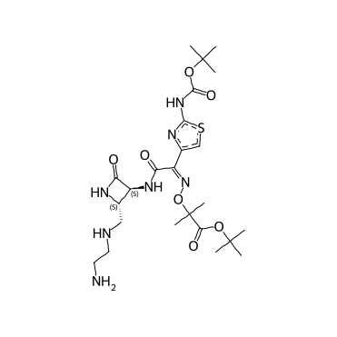 CC(C)(C)OC(=O)Nc1nc(C(=NOC(C)(C)C(=O)OC(C)(C)C)C(=O)N[C@@H]2C(=O)N[C@H]2CNCCN)cs1